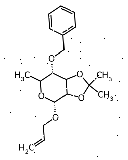 C=CCO[C@@H]1OC(C)[C@H](OCc2ccccc2)C2OC(C)(C)OC21